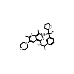 Cc1nc2c(C)nnc(N[C@H](C)c3cccc(C(F)(F)C4CCCO4)c3)c2cc1N1CCOCC1